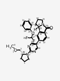 COC[C@H]1CCCN1c1ncc(-c2ccc3c(c2)[C@@H]2[C@H](c4ccccc4OC(F)F)CCN2C3=O)cn1